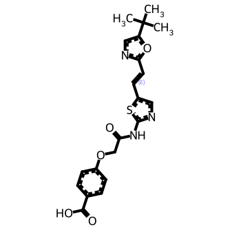 CC(C)(C)c1cnc(/C=C/c2cnc(NC(=O)COc3ccc(C(=O)O)cc3)s2)o1